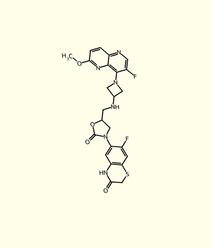 COc1ccc2ncc(F)c(N3CC(NCC4CN(c5cc6c(cc5F)SCC(=O)N6)C(=O)O4)C3)c2n1